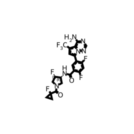 Nc1ncnn2c(-c3cc(C(=O)N[C@@H]4CN(C(=O)C5(F)CC5)C[C@@H]4F)c(F)cc3F)cc(C(F)(F)F)c12